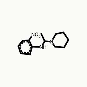 CC(Nc1ccccc1[N+](=O)[O-])N1CCCCC1